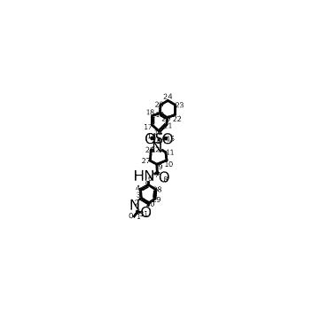 Cc1nc2cc(NC(=O)C3CCN(S(=O)(=O)c4ccc5c(c4)CCCC5)CC3)ccc2o1